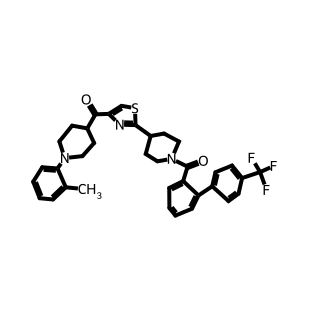 Cc1ccccc1N1CCC(C(=O)c2csc(C3CCN(C(=O)c4ccccc4-c4ccc(C(F)(F)F)cc4)CC3)n2)CC1